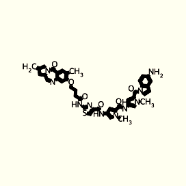 C=C1CC2C=Nc3cc(OCCCC(=O)Nc4nc(C(=O)Nc5cc(C(=O)Nc6cc(C(=O)n7ccc8cc(N)ccc87)n(C)c6)n(C)c5)cs4)c(C)cc3C(=O)N2C1